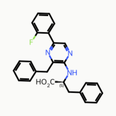 O=C(O)[C@H](Cc1ccccc1)Nc1ncc(-c2ccccc2F)nc1Cc1ccccc1